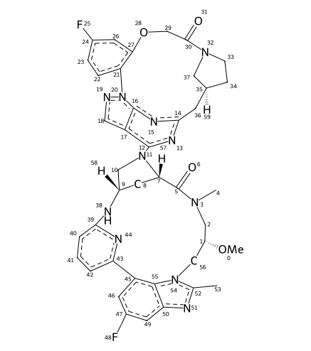 CO[C@H]1CN(C)C(=O)[C@@H]2C[C@@H](CN2c2nc3nc4c2cnn4-c2ccc(F)cc2OCC(=O)N2CC[C@@H](C3)C2)Nc2cccc(n2)-c2cc(F)cc3nc(C)n(c23)C1